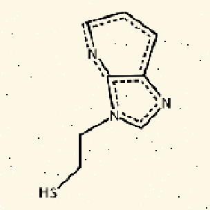 SCCn1cnc2cccnc21